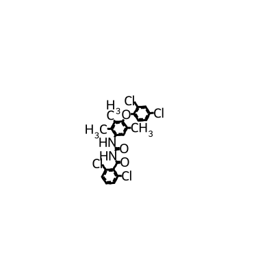 Cc1cc(NC(=O)NC(=O)c2c(Cl)cccc2Cl)c(C)c(C)c1Oc1ccc(Cl)cc1Cl